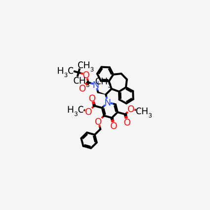 COC(=O)c1cn([C@@H](CN(C)C(=O)OC(C)(C)C)C2c3ccccc3CCc3ccccc32)c(C(=O)OC)c(OCc2ccccc2)c1=O